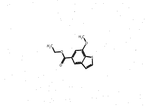 CCOC(=O)c1cc(OC)c2sccc2c1